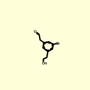 O=CCc1cc(Br)cc(CCO)c1